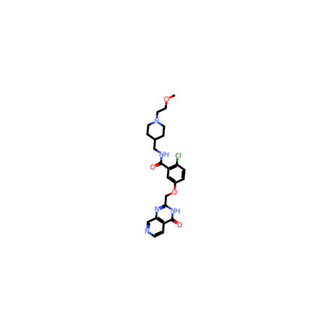 COCCN1CCC(CNC(=O)c2cc(OCc3nc4cnccc4c(=O)[nH]3)ccc2Cl)CC1